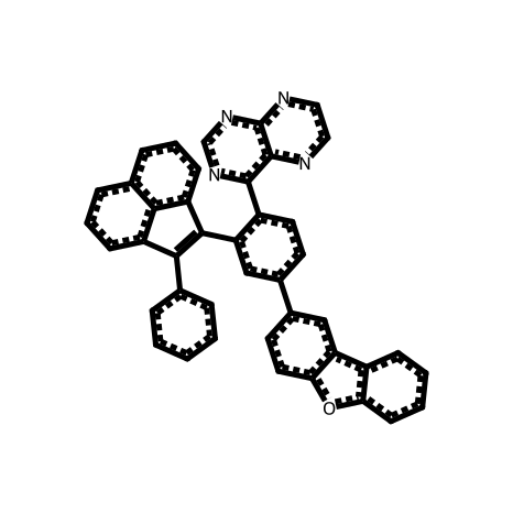 c1ccc(C2=C(c3cc(-c4ccc5oc6ccccc6c5c4)ccc3-c3ncnc4nccnc34)c3cccc4cccc2c34)cc1